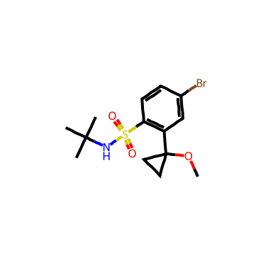 COC1(c2cc(Br)ccc2S(=O)(=O)NC(C)(C)C)CC1